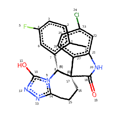 Cc1ccc(F)cc1[C@H]1n2c(O)nnc2CC[C@]12C(=O)Nc1cc(Cl)ccc12